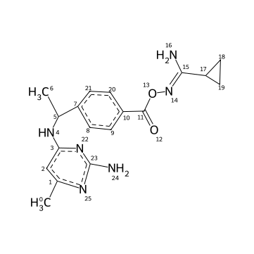 Cc1cc(NC(C)c2ccc(C(=O)O/N=C(\N)C3CC3)cc2)nc(N)n1